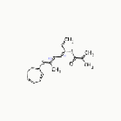 C=C/C(=C\C=C(/C)SC1=CCC=CC=C1)SC(=O)C(=C)C